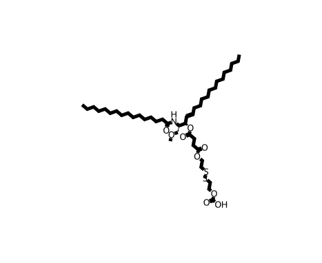 CCCCCCCCCCCCC/C=C/[C@@H](OC(=O)CCC(=O)OCCSSCCOC(=O)O)[C@H](COC)NC(=O)CCCCCCCCCCCCCCC